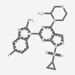 CC1COCCN1c1nc(-n2c(N)nc3cc(F)ccc32)nc2c1cnn2S(=O)(=O)C1CC1